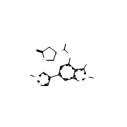 Cc1c2c(OC(C)[C@H]3CNC(=O)C3)cc(-c3cnn(C(C)C)c3)cc2nn1C